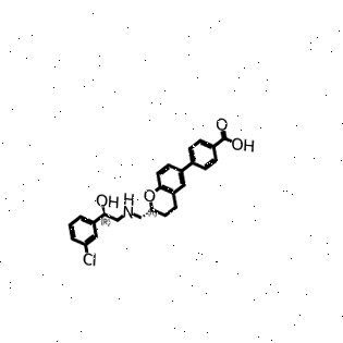 O=C(O)c1ccc(-c2ccc3c(c2)CC[C@H](CNC[C@H](O)c2cccc(Cl)c2)O3)cc1